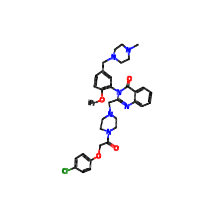 CC(C)Oc1ccc(CN2CCN(C)CC2)cc1-n1c(CN2CCN(C(=O)COc3ccc(Cl)cc3)CC2)nc2ccccc2c1=O